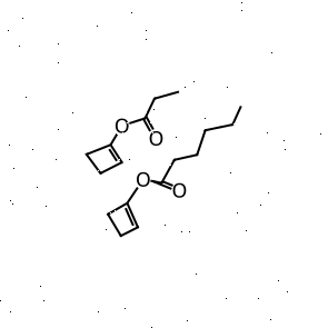 CCC(=O)OC1=CCC1.CCCCCC(=O)OC1=CCC1